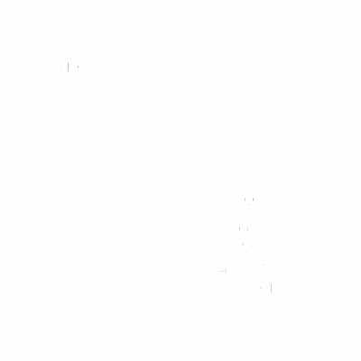 CCCCCCCCCCCCCCCOC(=O)c1ccccc1C(=O)OC(C)C